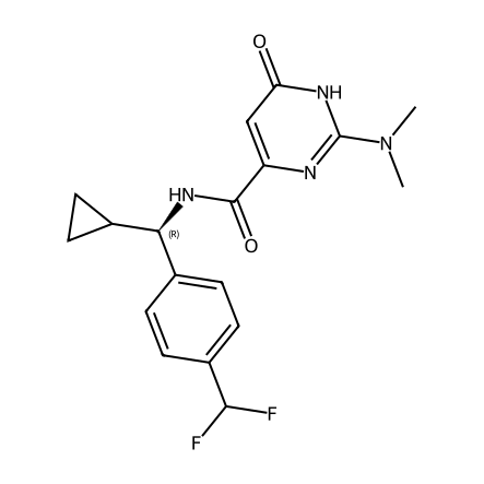 CN(C)c1nc(C(=O)N[C@@H](c2ccc(C(F)F)cc2)C2CC2)cc(=O)[nH]1